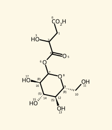 O=C(O)CC(O)C(=O)OC1O[C@H](CO)[C@@H](O)[C@H](O)[C@H]1O